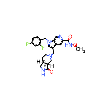 CONC(=O)c1cc2c(CN3CC[C@@H]4CNC(=O)[C@H]4C3)cn(Cc3ccc(F)cc3F)c2cn1